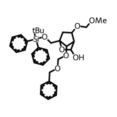 COCOC1CC2(CO[Si](c3ccccc3)(c3ccccc3)C(C)(C)C)OC(O)C1C2OCOCc1ccccc1